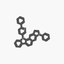 c1ccc(-c2ccc(-n3c4ccccc4c4ccc5cc6c(ccn6-c6ccccc6)cc5c43)cn2)cc1